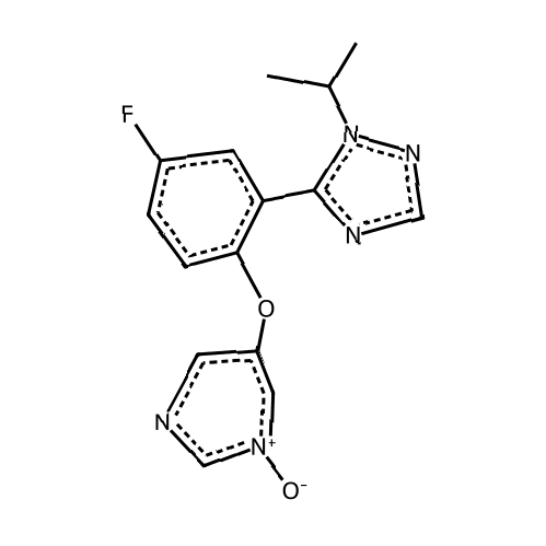 CC(C)n1ncnc1-c1cc(F)ccc1Oc1cnc[n+]([O-])c1